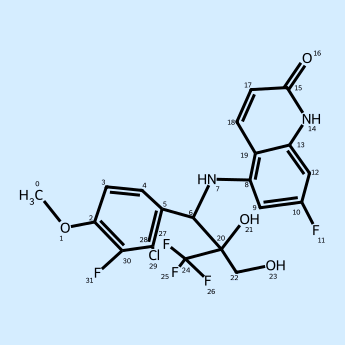 COc1ccc(C(Nc2cc(F)cc3[nH]c(=O)ccc23)C(O)(CO)C(F)(F)F)c(Cl)c1F